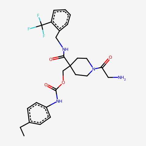 CCc1ccc(NC(=O)OCC2(C(=O)NCc3ccccc3C(F)(F)F)CCN(C(=O)CN)CC2)cc1